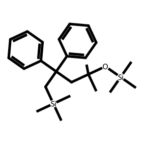 CC(C)(CC(C[Si](C)(C)C)(c1ccccc1)c1ccccc1)O[Si](C)(C)C